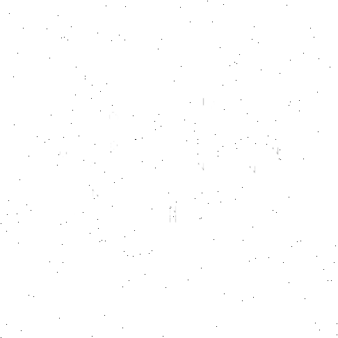 CC(C)OC(=O)N1CCCC1CNc1ccn2ncc(C(F)(F)F)c2n1